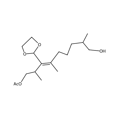 CC(=O)OCC(C)C(=C(C)CCCC(C)CO)C1OCCO1